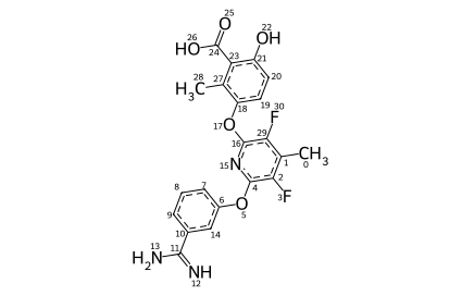 Cc1c(F)c(Oc2cccc(C(=N)N)c2)nc(Oc2ccc(O)c(C(=O)O)c2C)c1F